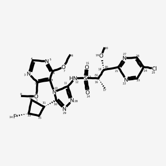 COc1ncnc(OC)c1-n1c(NS(=O)(=O)[C@@H](C)[C@H](OC)c2ncc(Cl)cn2)nnc1[C@H]1C[C@@H](F)C1